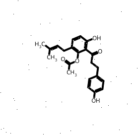 CC(=O)Oc1c(CC=C(C)C)ccc(O)c1C(=O)CCc1ccc(O)cc1